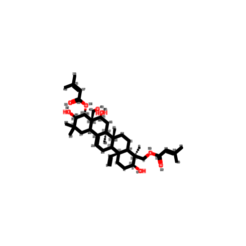 C=C[C@]12CC[C@H](O)[C@](C)(COC(=O)C=C(C)C)C1CC[C@]1(C)C2CC=C2C3CC(C)(C)[C@@H](O)[C@H](OC(=O)C=C(C)C)[C@]3(CO)[C@H](O)C[C@]21C